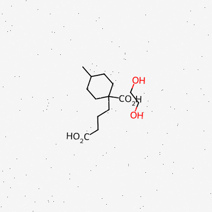 CC1CCC(CCCC(=O)O)(C(=O)O)CC1.OCCO